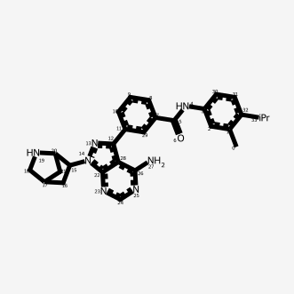 Cc1cc(NC(=O)c2cccc(-c3nn(C4CC5CNC4C5)c4ncnc(N)c34)c2)ccc1C(C)C